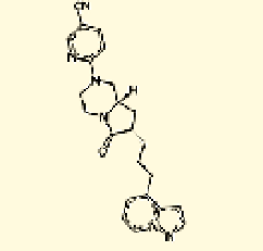 N#Cc1ccc(N2CCN3C(=O)[C@@H](CCCc4cccn5nccc45)C[C@H]3C2)nc1